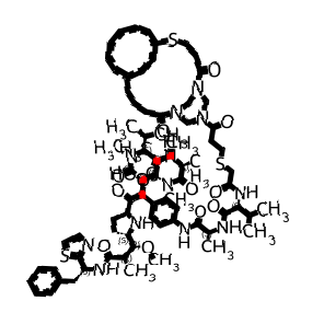 CC[C@H](C)[C@@H]([C@H](O)CC(=O)C1CC[C@@H]([C@H](OC)[C@@H](C)C(=O)N[C@@H](Cc2ccccc2)c2nccs2)N1)N(C)C(=O)[C@H](C)NC(=O)[C@H](C(C)C)N(C)C(=O)OCc1ccc(NC(=O)[C@H](C)NC(=O)[C@@H](NC(=O)CSCCC(=O)N2CN3CN(C2)C(=O)CCSc2ccccccc(cc2)CCCC3=O)C(C)C)cc1